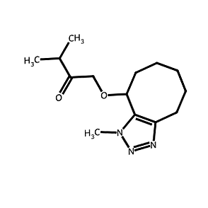 CC(C)C(=O)COC1CCCCCc2nnn(C)c21